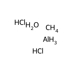 C.Cl.Cl.O.[AlH3]